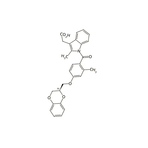 Cc1cc(OC[C@@H]2COc3ccccc3O2)ccc1C(=O)n1c(C)c(CC(=O)O)c2ccccc21